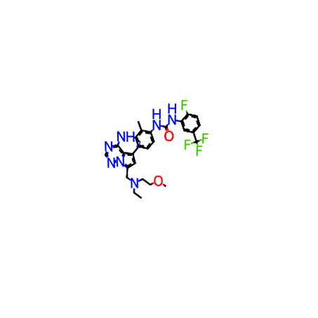 CCN(CCOC)Cc1cc(-c2ccc(NC(=O)Nc3cc(C(F)(F)F)ccc3F)c(C)c2)c2c(N)ncnn12